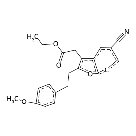 CCOC(=O)Cc1c(CCc2ccc(OC)cc2)oc2ccc(C#N)cc12